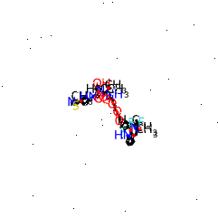 Cc1ncsc1-c1ccc(CNC(=O)[C@@H]2C[C@@H](O)CN2C(=O)[C@@H](NC(=O)COCCOCCOc2cc(F)c([C@@H]3c4[nH]c5ccccc5c4C[C@@H](C)N3CC(C)(C)F)c(F)c2)C(C)(C)C)cc1